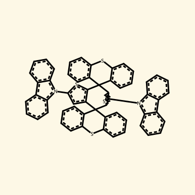 c1ccc2c(c1)Sc1ccccc1C21c2cc(-n3c4ccccc4c4ccccc43)sc2C2(c3ccccc3Sc3ccccc32)c2cc(-n3c4ccccc4c4ccccc43)sc21